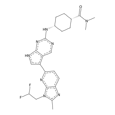 Cc1nc2ccc(-c3c[nH]c4nc(N[C@H]5CC[C@@H](C(=O)N(C)C)CC5)ncc34)nc2n1CC(F)F